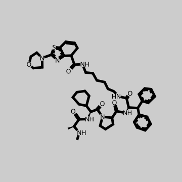 CN[C@@H](C)C(=O)N[C@H](C(=O)N1CCCC1C(=O)N[C@H](C(=O)NCCCCCCNC(=O)C1CC=Cc2sc(N3CCOCC3)nc21)C(c1ccccc1)c1ccccc1)C1CCCCC1